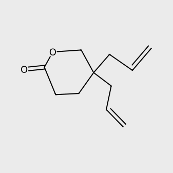 C=CCC1(CC=C)CCC(=O)OC1